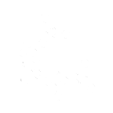 N#Cc1ccccc1-c1cc(-c2nc(-c3ccccc3)nc(-c3ccc(-n4c5ccccc5c5cc(-c6nc(-c7ccccc7)nc(-c7ccccc7)n6)ccc54)c(C#N)c3)n2)ccc1-n1c2ccccc2c2cc(-c3nc(-c4ccccc4)nc(-c4ccccc4)n3)ccc21